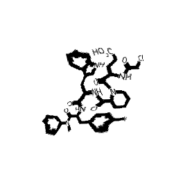 CN(C(=O)C(Cc1ccc(F)cc1)NC(=O)C(Cc1c[nH]c2ccccc12)NC(=O)C1CCCCN1C(=O)C(CCC(=O)O)NC(=O)CCl)c1ccccc1